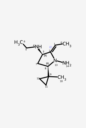 C/C=C1/[C@H](NCC)C[C@H](C2(C)CC2)N1N